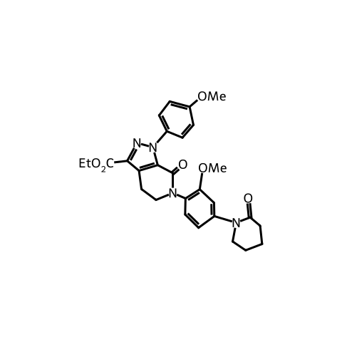 CCOC(=O)c1nn(-c2ccc(OC)cc2)c2c1CCN(c1ccc(N3CCCCC3=O)cc1OC)C2=O